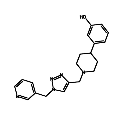 Oc1cccc(C2CCN(Cc3cn(Cc4cccnc4)nn3)CC2)c1